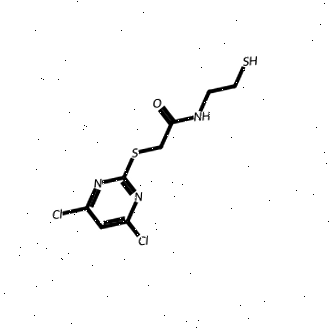 O=C(CSc1nc(Cl)cc(Cl)n1)NCCS